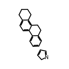 C1=CCN=C1.c1ccc2c(c1)CCc1c-2ccc2c1CCCC2